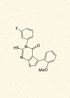 COc1ccccc1-c1csc2nc(S)n(-c3cccc(F)c3)c(=O)c12